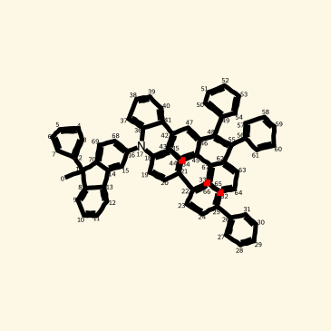 CC1(c2ccccc2)c2ccccc2-c2cc(N(c3ccc(-c4ccc(-c5ccccc5)cc4)cc3)c3ccccc3-c3ccc4c(c3)c(-c3ccccc3)c(-c3ccccc3)c3ccccc34)ccc21